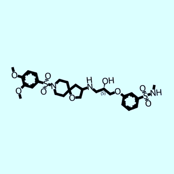 CNS(=O)(=O)c1cccc(OC[C@@H](O)CNC2COC3(CCN(S(=O)(=O)c4ccc(OC)c(OC)c4)CC3)C2)c1